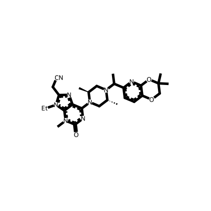 CCn1c(CC#N)nc2c(N3C[C@@H](C)N(C(C)c4ccc5c(n4)OC(C)(C)CO5)C[C@@H]3C)nc(=O)n(C)c21